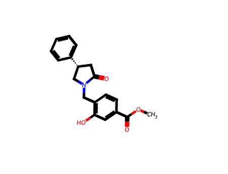 COC(=O)c1ccc(CN2C[C@H](c3ccccc3)CC2=O)c(O)c1